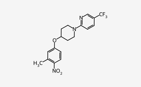 Cc1cc(OC2CCN(c3ccc(C(F)(F)F)cn3)CC2)ccc1[N+](=O)[O-]